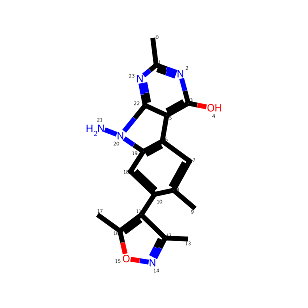 Cc1nc(O)c2c3cc(C)c(-c4c(C)noc4C)cc3n(N)c2n1